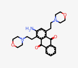 Nc1cc(CCN2CCOCC2)c2c(c1CCN1CCOCC1)C(=O)c1ccccc1C2=O